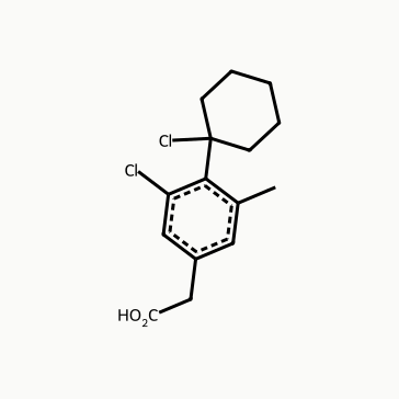 Cc1cc(CC(=O)O)cc(Cl)c1C1(Cl)CCCCC1